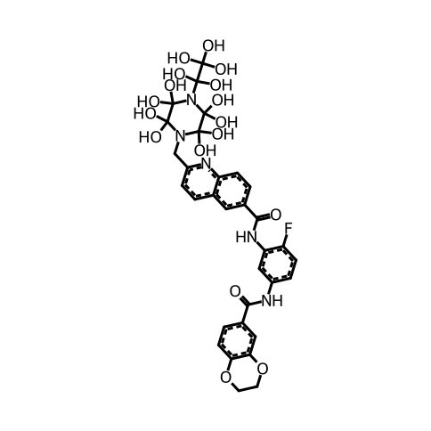 O=C(Nc1ccc(F)c(NC(=O)c2ccc3nc(CN4C(O)(O)C(O)(O)N(C(O)(O)C(O)(O)O)C(O)(O)C4(O)O)ccc3c2)c1)c1ccc2c(c1)OCCO2